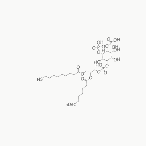 CCCCCCCCCCCCCCCC(=O)O[C@H](COC(=O)CCCCCCCCS)COP(=O)(O)OC1C(O)[C@H](OP(=O)(O)O)C(OP(=O)(O)O)[C@H](O)[C@@H]1O